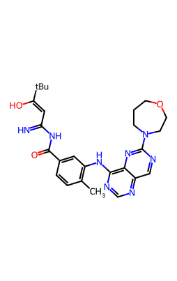 Cc1ccc(C(=O)NC(=N)/C=C(\O)C(C)(C)C)cc1Nc1ncnc2cnc(N3CCCOCC3)nc12